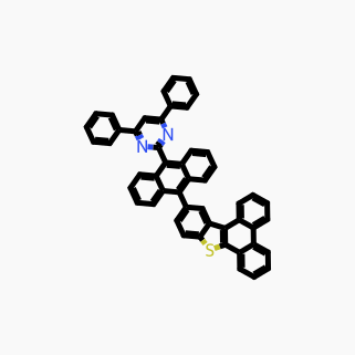 c1ccc(-c2cc(-c3ccccc3)nc(-c3c4ccccc4c(-c4ccc5sc6c7ccccc7c7ccccc7c6c5c4)c4ccccc34)n2)cc1